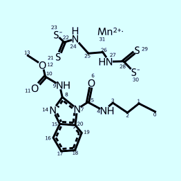 CCCCNC(=O)n1c(NC(=O)OC)nc2ccccc21.S=C([S-])NCCNC(=S)[S-].[Mn+2]